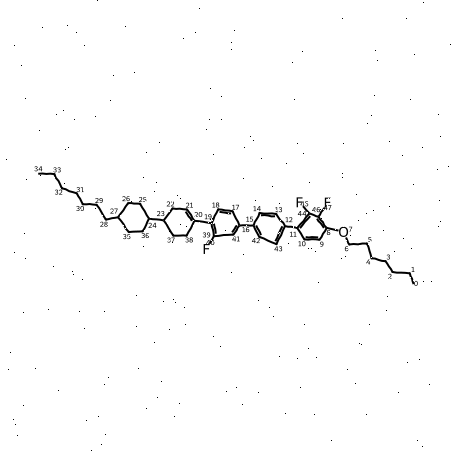 CCCCCCCOc1ccc(-c2ccc(-c3ccc(C4=CCC(C5CCC(CCCCCCC)CC5)CC4)c(F)c3)cc2)c(F)c1F